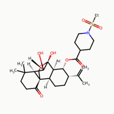 C=C(C)[C@@H]1CC[C@H]2[C@@]34CO[C@@](O)([C@@H](O)[C@@H]3C(C)(C)CCC4=O)[C@@]2(C(C)=O)[C@@H]1OC(=O)C1CCN(S(=O)(=O)CC)CC1